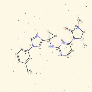 Bc1cccc(-n2cnc(C3(Nc4nccc(N5C(=O)N(C)C[C@@H]5C(C)C)n4)CC3)c2)c1